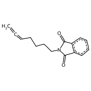 C=C=CCCCCN1C(=O)c2ccccc2C1=O